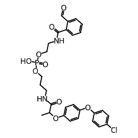 CC(Oc1ccc(Oc2ccc(Cl)cc2)cc1)C(=O)NCCCOP(=O)(O)OCCNC(=O)c1ccccc1C=O